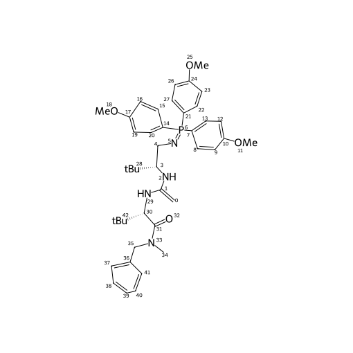 C=C(N[C@@H](CN=P(c1ccc(OC)cc1)(c1ccc(OC)cc1)c1ccc(OC)cc1)C(C)(C)C)N[C@H](C(=O)N(C)Cc1ccccc1)C(C)(C)C